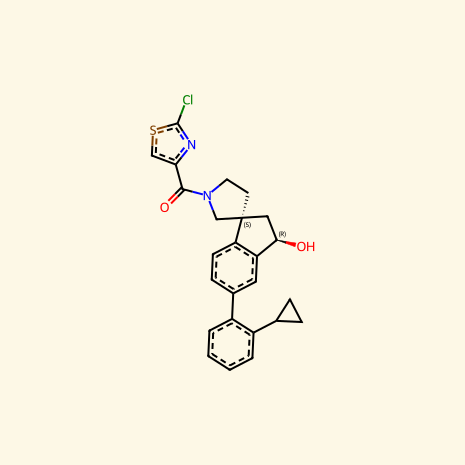 O=C(c1csc(Cl)n1)N1CC[C@@]2(C[C@@H](O)c3cc(-c4ccccc4C4CC4)ccc32)C1